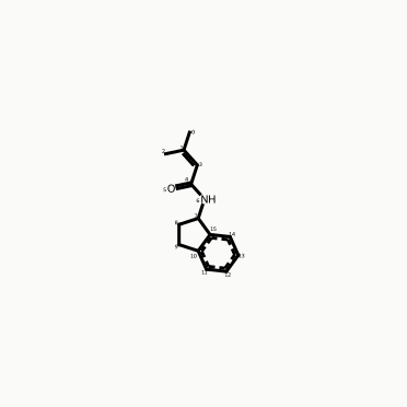 CC(C)=CC(=O)NC1CCc2ccccc21